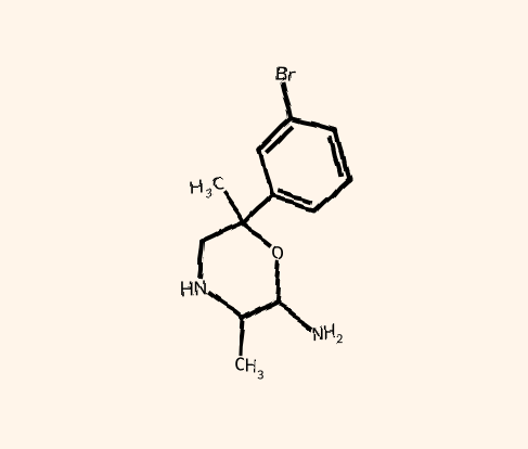 CC1NCC(C)(c2cccc(Br)c2)OC1N